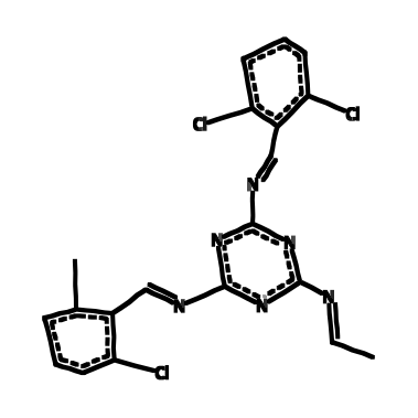 CC=Nc1nc(N=Cc2c(C)cccc2Cl)nc(N=Cc2c(Cl)cccc2Cl)n1